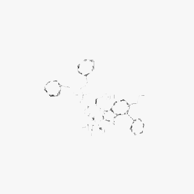 CCCc1ccc2c(nc(S(=O)(=O)NC)n2C2=C(O)CC(CCc3ccccc3)(CCc3ccccc3)OC2=O)c1-c1ccccc1